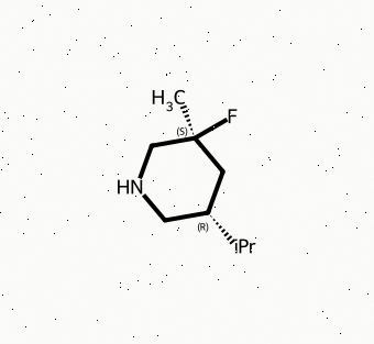 CC(C)[C@@H]1CNC[C@@](C)(F)C1